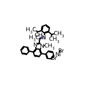 C/C(=N\c1c(C(C)C)cccc1C(C)C)c1nc2c(-c3ccccc3)ccc(-c3ccccc3)c2n1C.[Br][Ni][Br]